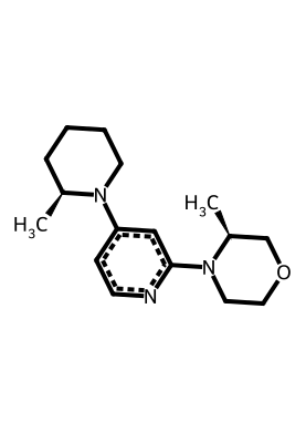 C[C@H]1CCCCN1c1ccnc(N2CCOC[C@@H]2C)c1